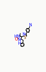 CC1=C(c2nc(-c3ccc(C#N)cc3)cs2)C(Cc2ccccc2)NC(=O)N1